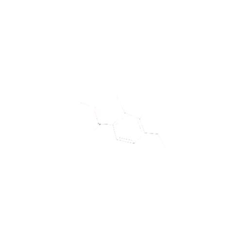 CCc1ccc(C(=O)OC)c(F)c1F